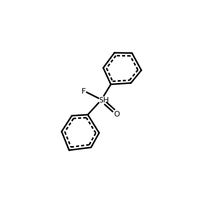 O=[SH](F)(c1ccccc1)c1ccccc1